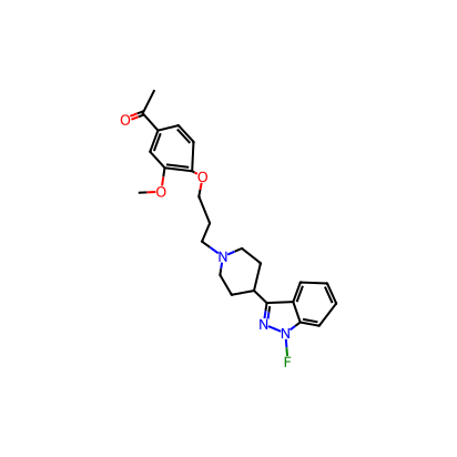 COc1cc(C(C)=O)ccc1OCCCN1CCC(c2nn(F)c3ccccc23)CC1